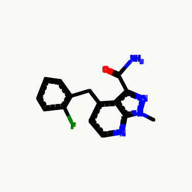 Cn1nc(C(N)=O)c2c(Cc3ccccc3F)ccnc21